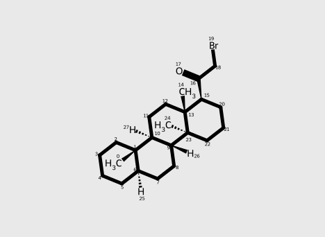 C[C@]12CCCC[C@@H]1CC[C@@H]1[C@@H]2CC[C@]2(C)[C@@H](C(=O)CBr)CCC[C@@]12C